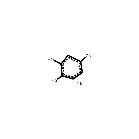 N#Cc1ccc(S)c(O)c1.[Na]